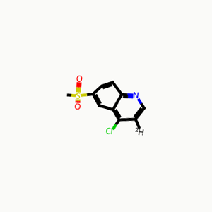 [2H]c1cnc2ccc(S(C)(=O)=O)cc2c1Cl